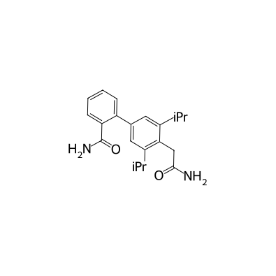 CC(C)c1cc(-c2ccccc2C(N)=O)cc(C(C)C)c1CC(N)=O